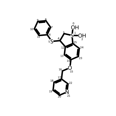 OS1(O)CC(Sc2ccccc2)c2cc(OCc3cccnc3)ccc21